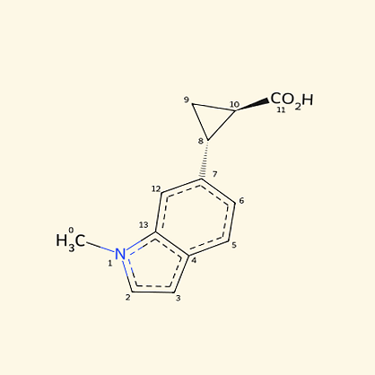 Cn1ccc2ccc([C@@H]3C[C@H]3C(=O)O)cc21